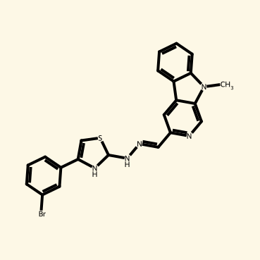 Cn1c2ccccc2c2cc(C=NNC3NC(c4cccc(Br)c4)=CS3)ncc21